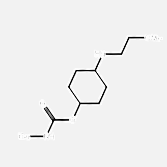 COCCNC1CCC(OC(=O)NC(C)(C)C)CC1